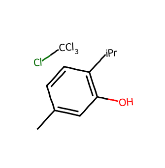 Cc1ccc(C(C)C)c(O)c1.ClC(Cl)(Cl)Cl